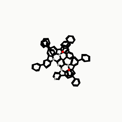 c1ccc(-c2ccc3c(c2)c2cc(-c4ccccc4)ccc2n3-c2nc(-n3c4ccccc4c4cnccc43)c(-n3c4ccc(-c5ccccc5)cc4c4cc(-c5ccccc5)ccc43)c(-c3cccc4c3sc3ccccc34)c2-n2c3ccc(-c4ccccc4)cc3c3cc(-c4ccccc4)ccc32)cc1